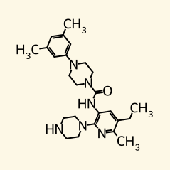 CCc1cc(NC(=O)N2CCN(c3cc(C)cc(C)c3)CC2)c(N2CCNCC2)nc1C